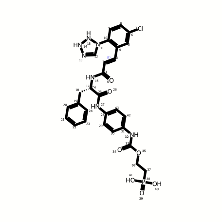 O=C(/C=C/c1cc(Cl)ccc1N1C=NNN1)N[C@@H](Cc1ccccc1)C(=O)Nc1ccc(NC(=O)OCCP(=O)(O)O)cc1